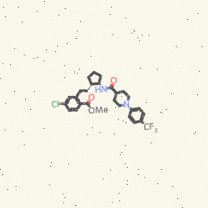 COC(=O)c1ccc(Cl)cc1CC[C@@H]1CCC[C@@H]1NC(=O)C1CCN(c2ccc(C(F)(F)F)cc2)CC1